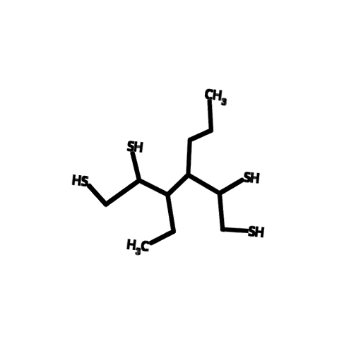 CCCC(C(S)CS)C(CC)C(S)CS